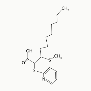 CCCCCCCCC(SC)C(Sc1ccccn1)C(=O)O